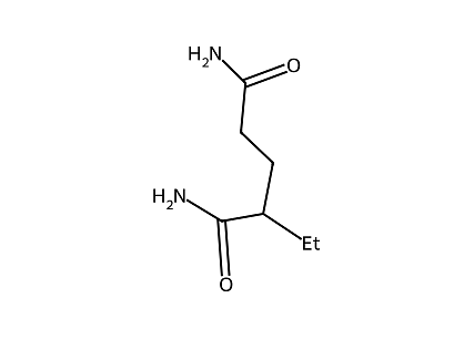 CCC(CCC(N)=O)C(N)=O